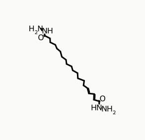 NNC(=O)/C=C/C=C/CCCCCCCCCCCCCCC(=O)NN